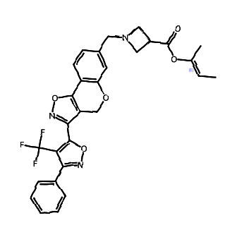 C/C=C(\C)OC(=O)C1CN(Cc2ccc3c(c2)OCc2c(-c4onc(-c5ccccc5)c4C(F)(F)F)noc2-3)C1